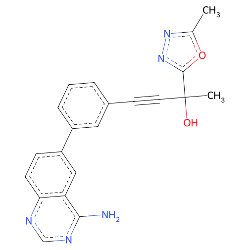 Cc1nnc(C(C)(O)C#Cc2cccc(-c3ccc4ncnc(N)c4c3)c2)o1